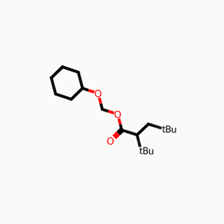 CC(C)(C)CC(C(=O)OCOC1CCCCC1)C(C)(C)C